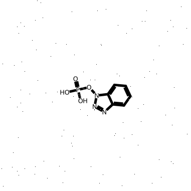 O=P(O)(O)On1nnc2ccccc21